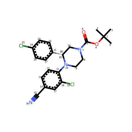 CC(C)(C)OC(=O)N1CCN(c2ccc(C#N)cc2Cl)[C@H](c2ccc(Cl)cc2)C1